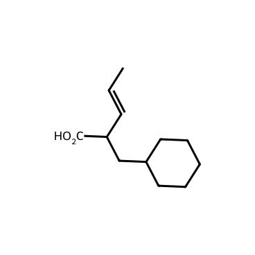 CC=CC(CC1CCCCC1)C(=O)O